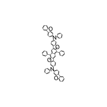 c1ccc(-c2c3cc4c(oc5cc(N(c6ccccc6)c6ccc7c(c6)oc6ccccc67)ccc54)c(-c4ccccc4)c3cc3c2oc2cc(N(c4ccccc4)c4ccc5c(c4)oc4ccccc45)ccc23)cc1